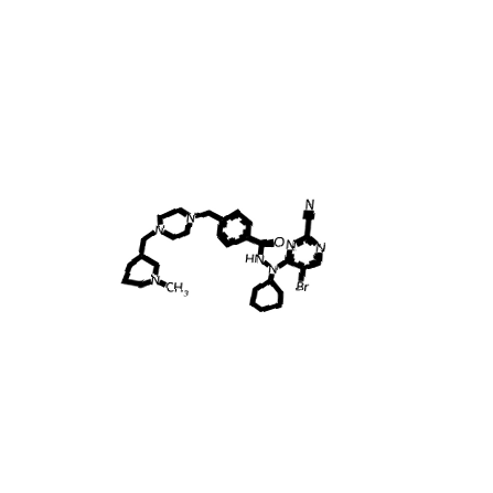 CN1CCCC(CN2CCN(Cc3ccc(C(=O)NN(c4nc(C#N)ncc4Br)C4CCCCC4)cc3)CC2)C1